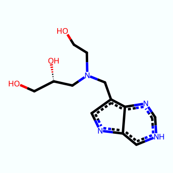 OCCN(Cc1cnc2c[nH]cnc1-2)C[C@@H](O)CO